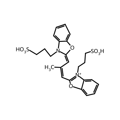 CC(=Cc1oc2ccccc2[n+]1CCCS(=O)(=O)O)C=C1Oc2ccccc2N1CCCS(=O)(=O)O